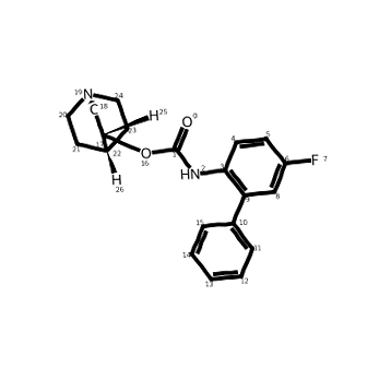 O=C(Nc1ccc(F)cc1-c1ccccc1)O[C@H]1C[N@]2CC[C@H]1CC2